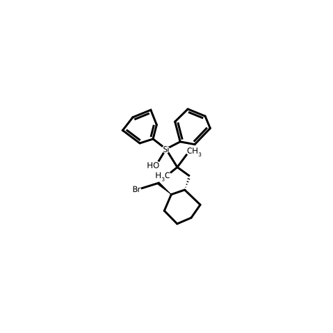 CC(C)(C[C@@H]1CCCC[C@H]1CBr)[Si](O)(c1ccccc1)c1ccccc1